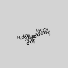 CC(C)C[C@@H](C(=O)O)N(C)[N+]([O-])=NOCOC(=O)OC(C)(C)C